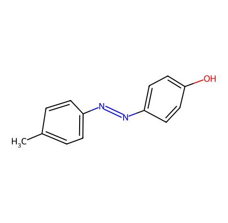 Cc1ccc(N=Nc2ccc(O)cc2)cc1